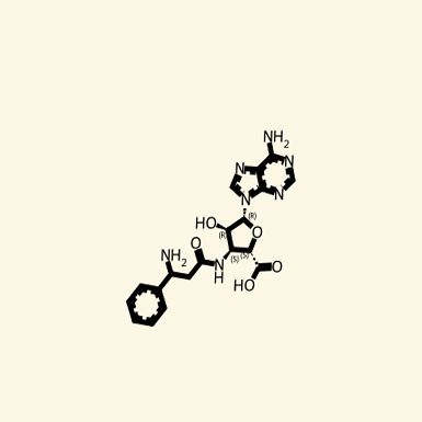 Nc1ncnc2c1ncn2[C@@H]1O[C@H](C(=O)O)[C@@H](NC(=O)CC(N)c2ccccc2)[C@H]1O